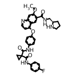 COc1cc2nccc(Oc3ccc(NC(=O)C4(C(=O)Nc5ccc(F)cc5)CC4)cc3)c2cc1C(=O)NC[C@H]1CCCN1